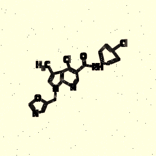 Cc1cn(Cc2cnco2)c2ncc(C(=O)Nc3ccc(Cl)cc3)c(Cl)c12